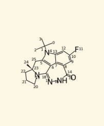 CC(C)(C)n1c2c3c4c(cc(F)cc41)C(=O)NN=C3N1CCC[C@]1(C)C2